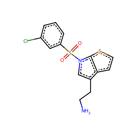 NCCc1cn(S(=O)(=O)c2cccc(Cl)c2)c2sccc12